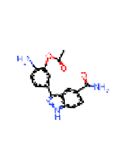 CC(=O)Oc1cc(-c2n[nH]c3ccc(C(N)=O)cc23)ccc1N